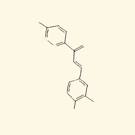 Cc1ccc(C(=O)/C=C/c2ccc(F)c(C)c2)nn1